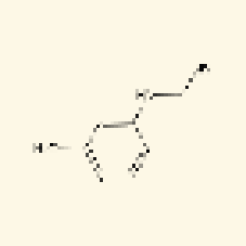 Cc1cc(NCC(C)C)ccn1